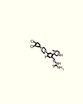 CN1CCNCC1c1cc(N2CCN(c3ccc(Cl)c(Cl)c3)CC2)c(F)cc1/C=N/NC(N)=S